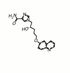 NC(=O)c1cn(C[C@@H](O)CCCOc2ccc3ncccc3c2)cn1